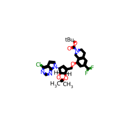 CC(C)(C)OC(=O)N1CCc2cc(C(F)F)cc(OCC3=C[C@@H](n4ccc5c(Cl)ncnc54)[C@@H]4OC(C)(C)O[C@H]34)c2C1